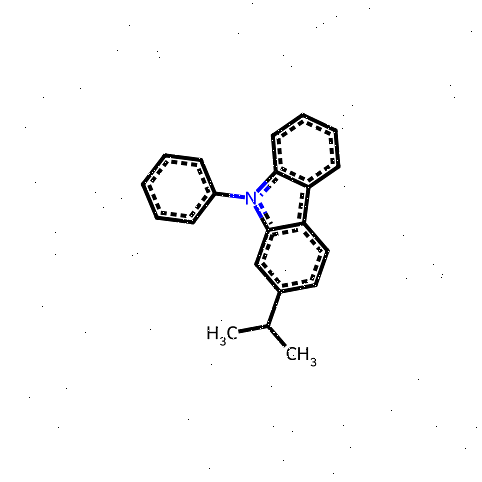 CC(C)c1ccc2c3ccccc3n(-c3ccccc3)c2c1